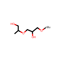 CCCCOCC(O)COC(C)CO